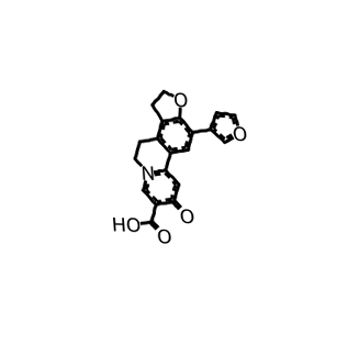 O=C(O)c1cn2c(cc1=O)-c1cc(-c3ccoc3)c3c(c1CC2)CCO3